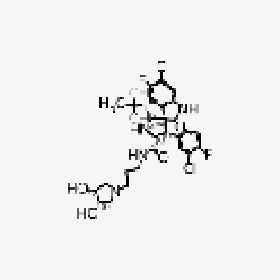 CC(C)(C)C[C@H]1N[C@@H](C(=O)NCCCN2C[C@H](O)[C@@H](O)C2)[C@H](c2ccc(F)c(Cl)c2)[C@@]12C(=O)Nc1cc(Cl)c(F)cc12